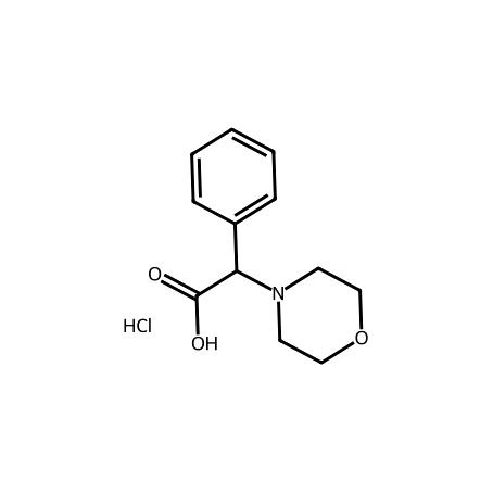 Cl.O=C(O)C(c1ccccc1)N1CCOCC1